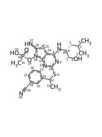 CC(C)C[C@H](CO)Nc1nc(SC(C)c2cccc(C#N)c2)nc2c1sc(=N)n2OP(C)(=O)O